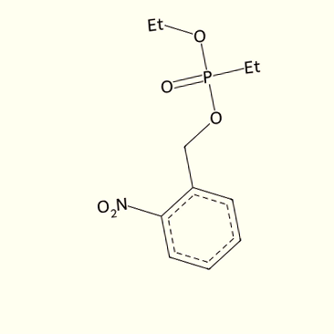 CCOP(=O)(CC)OCc1ccccc1[N+](=O)[O-]